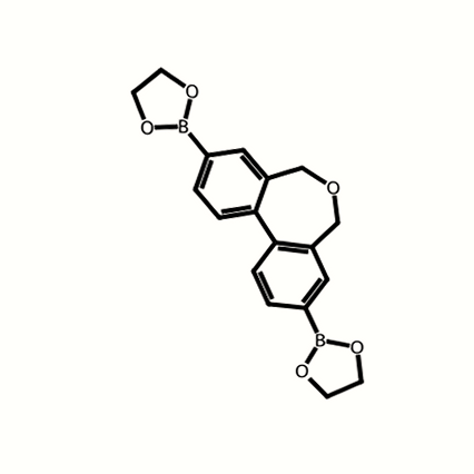 c1cc2c(cc1B1OCCO1)COCc1cc(B3OCCO3)ccc1-2